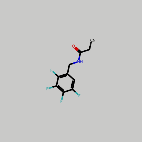 N#CCC(=O)NCc1cc(F)c(F)c(F)c1F